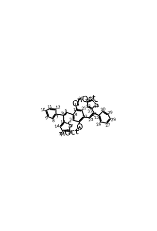 CCCCCCCCOc1cc(C=C(c2ccccc2)c2cccs2)c(OCCCCCCCC)cc1C=C(c1ccccc1)c1cccs1